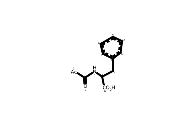 CC(=O)C(=O)NC(Cc1ccccc1)C(=O)O